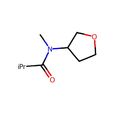 CC(C)C(=O)N(C)C1CCOC1